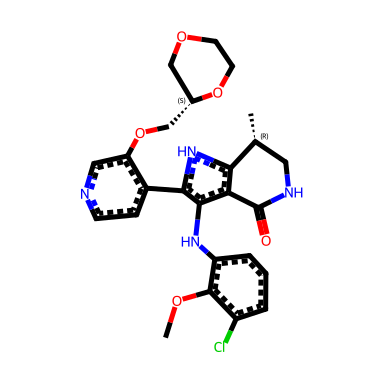 COc1c(Cl)cccc1Nc1c(-c2ccncc2OC[C@@H]2COCCO2)[nH]c2c1C(=O)NC[C@H]2C